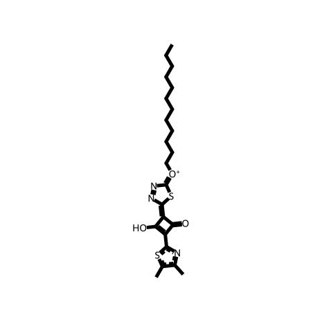 CCCCCCCCCCCC/[O+]=C1N=N/C(=C2/C(=O)C(c3nc(C)c(C)s3)=C2O)S\1